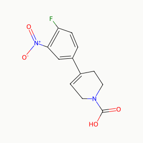 O=C(O)N1CC=C(c2ccc(F)c([N+](=O)[O-])c2)CC1